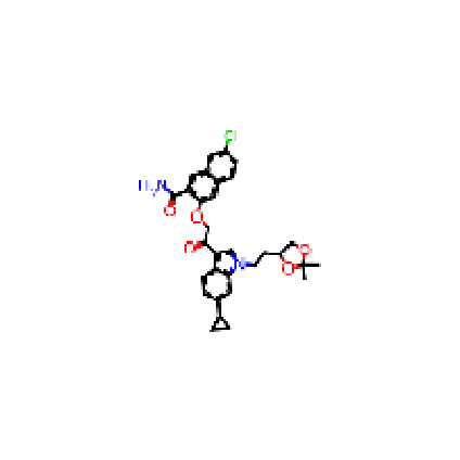 CC1(C)OCC(CCn2cc(C(=O)COc3cc4ccc(Cl)cc4cc3C(N)=O)c3ccc(C4CC4)cc32)O1